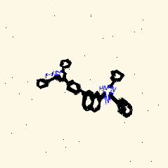 C1=C(c2ccc(-c3ccc4ccc(C5=NC(c6ccccc6)=NC(c6ccccc6)N5)cc4c3)cc2)C=C(c2ccccc2)NC1c1ccccc1